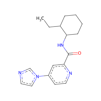 CCC1CCCCC1NC(=O)c1cc(-n2ccnc2)ccn1